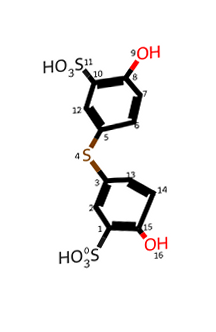 O=S(=O)(O)c1cc(Sc2ccc(O)c(S(=O)(=O)O)c2)ccc1O